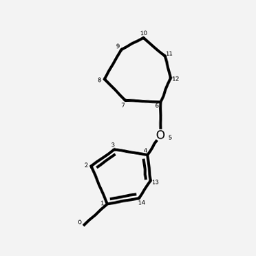 Cc1ccc(OC2CCCCCC2)cc1